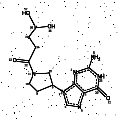 Nc1nc2c(ncn2C2CCN(C(=O)CCP(O)O)C2)c(=O)[nH]1